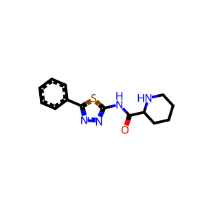 O=C(Nc1nnc(-c2ccccc2)s1)C1CCCCN1